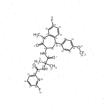 CN1C(=O)C(NC(=O)C(C)(C)NC(=O)c2cccc(F)n2)CN(c2ccc(OC(F)(F)F)cc2)c2ccc(F)cc21